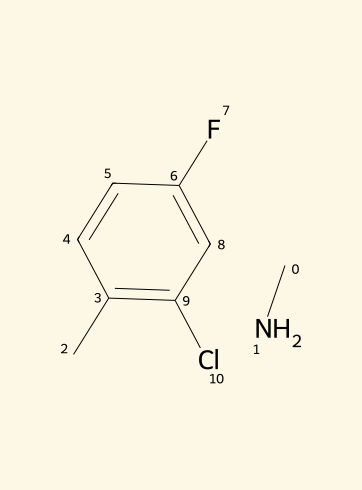 CN.Cc1ccc(F)cc1Cl